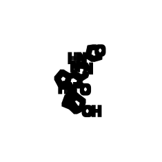 O=C(NC1C2CC3CC1CC(O)(C3)C2)c1cnc(NC2CCOCC2)nc1C1CCCC1